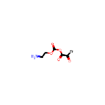 CCC(=O)C(=O)OC(=O)OCCN